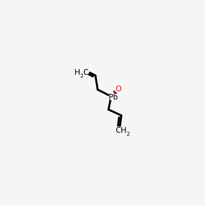 C=C[CH2][Pb](=[O])[CH2]C=C